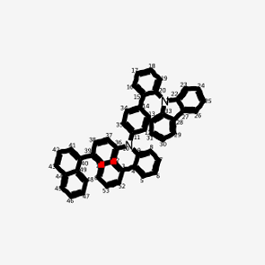 c1ccc(-c2ccccc2N(c2ccc(-c3ccccc3-n3c4ccccc4c4ccccc43)cc2)c2ccc(-c3cccc4ccccc34)cc2)cc1